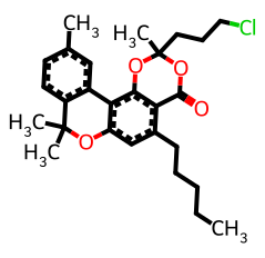 CCCCCc1cc2c(c3c1C(=O)OC(C)(CCCCl)O3)-c1cc(C)ccc1C(C)(C)O2